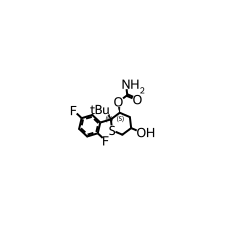 CC(C)(C)[C@]1(c2cc(F)ccc2F)SCC(O)C[C@@H]1OC(N)=O